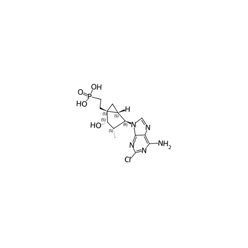 C[C@H]1[C@H](n2cnc3c(N)nc(Cl)nc32)[C@H]2C[C@@]2(CCP(=O)(O)O)[C@H]1O